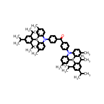 Cc1ccc2c(c1)B(c1c(C(C)C)cc(C(C)C)cc1C(C)C)c1cc(C)ccc1N2c1ccc(C(=O)c2ccc(N3c4ccc(C)cc4B(c4c(C(C)C)cc(C(C)C)cc4C(C)C)c4cc(C)ccc43)cc2)cc1